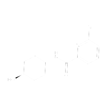 O=C(N[C@H]1CC[C@H](O)CC1)c1cccc(Br)n1